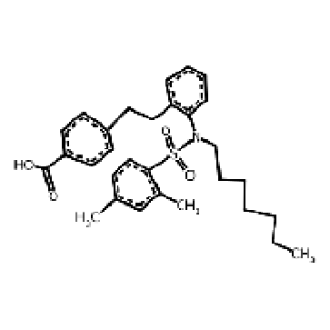 CCCCCCCN(c1ccccc1CCc1ccc(C(=O)O)cc1)S(=O)(=O)c1ccc(C)cc1C